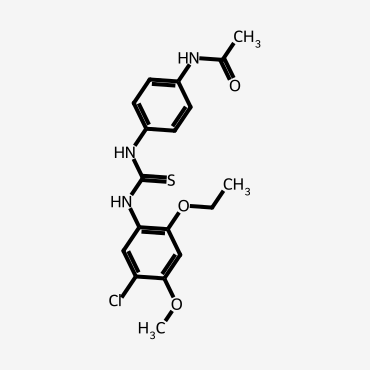 CCOc1cc(OC)c(Cl)cc1NC(=S)Nc1ccc(NC(C)=O)cc1